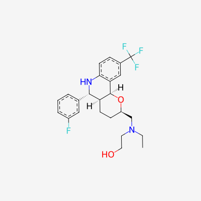 CCN(CCO)C[C@H]1CC[C@@H]2[C@H](O1)c1cc(C(F)(F)F)ccc1N[C@H]2c1cccc(F)c1